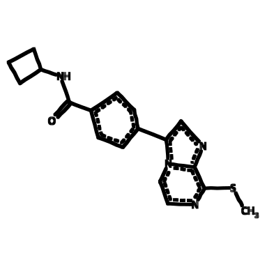 CSc1nccn2c(-c3ccc(C(=O)NC4CCC4)cc3)cnc12